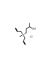 C=CC[N+](C)(CC=C)CCC(C)O.[Cl-]